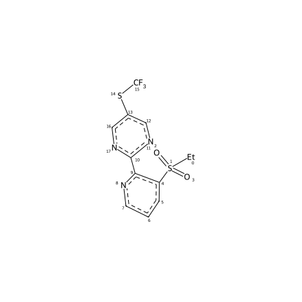 CCS(=O)(=O)c1cccnc1-c1ncc(SC(F)(F)F)cn1